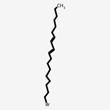 CCCCCC/C=C/C=C/CCCCCCCCBr